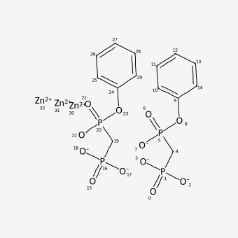 O=P([O-])([O-])CP(=O)([O-])Oc1ccccc1.O=P([O-])([O-])CP(=O)([O-])Oc1ccccc1.[Zn+2].[Zn+2].[Zn+2]